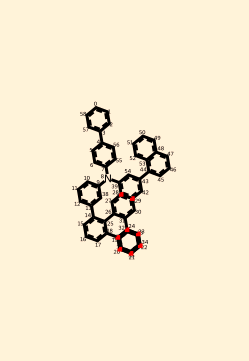 c1ccc(-c2ccc(N(c3cccc(-c4cccc(-c5ccccc5)c4-c4ccccc4-c4ccccc4)c3)c3cccc(-c4cccc5ccccc45)c3)cc2)cc1